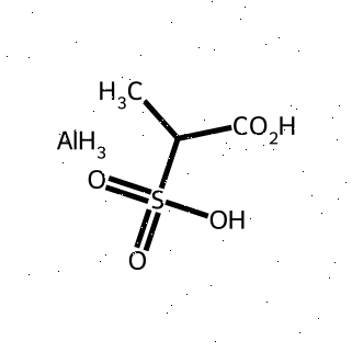 CC(C(=O)O)S(=O)(=O)O.[AlH3]